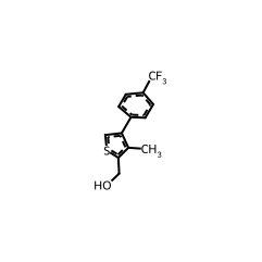 Cc1c(-c2ccc(C(F)(F)F)cc2)csc1CO